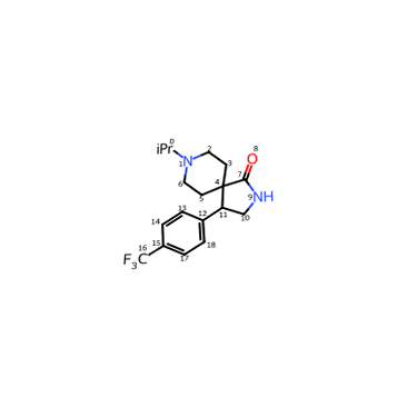 CC(C)N1CCC2(CC1)C(=O)NCC2c1ccc(C(F)(F)F)cc1